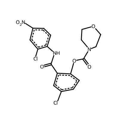 O=C(Nc1ccc([N+](=O)[O-])cc1Cl)c1cc(Cl)ccc1OC(=O)N1CCOCC1